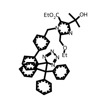 CCOCc1nc(C(C)(C)O)c(C(=O)OCC)n1Cc1ccc(-c2ccccc2C2(C(c3ccccc3)(c3ccccc3)c3ccccc3)N=NN=N2)cc1